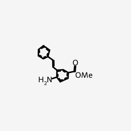 COC(=O)c1ccc(N)c(/C=C/c2ccccc2)c1